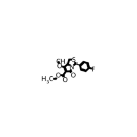 CCOC(=O)C1=C(OC)C2CS[C@@H](c3ccc(F)cc3)N2C1=O